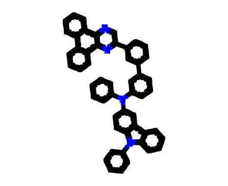 c1ccc(N(c2cccc(-c3cccc(-c4cnc5c6ccccc6c6ccccc6c5n4)c3)c2)c2ccc3c(c2)c2ccccc2n3-c2ccccc2)cc1